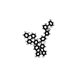 c1ccc(-c2ccccc2-c2ccccc2-c2ccc(N(c3ccc(-c4ccc5oc6c(-c7ccccc7)cccc6c5c4)cc3)c3ccc4c(c3)C3(c5ccccc5-c5ccccc53)c3ccccc3-4)cc2)cc1